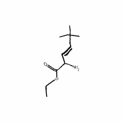 CCOC(=O)C(N)C=CC(C)(C)C